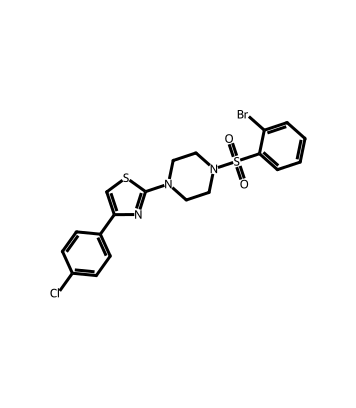 O=S(=O)(c1ccccc1Br)N1CCN(c2nc(-c3ccc(Cl)cc3)cs2)CC1